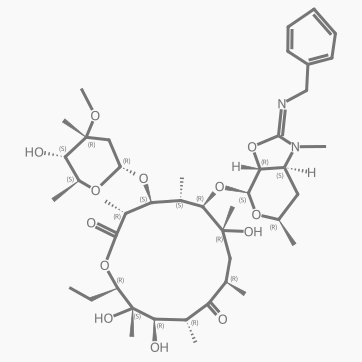 CC[C@H]1OC(=O)[C@H](C)[C@@H](O[C@H]2C[C@@](C)(OC)[C@@H](O)[C@H](C)O2)[C@H](C)[C@@H](O[C@@H]2O[C@H](C)C[C@H]3[C@H]2OC(=NCc2ccccc2)N3C)[C@](C)(O)C[C@@H](C)C(=O)[C@H](C)[C@@H](O)[C@]1(C)O